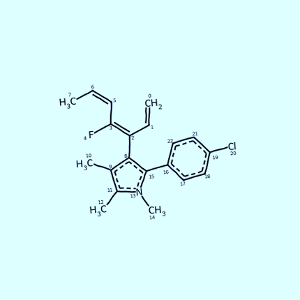 C=C/C(=C(F)\C=C/C)c1c(C)c(C)n(C)c1-c1ccc(Cl)cc1